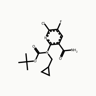 CC(C)(C)OC(=O)N(CC1CC1)c1nc(Cl)c(F)cc1C(N)=O